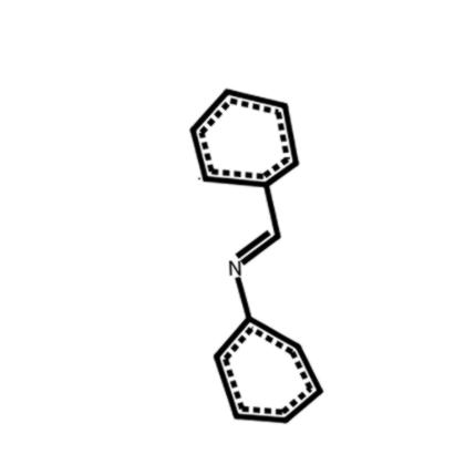 [c]1ccccc1C=Nc1ccccc1